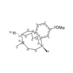 COc1ccc2c(c1)[C@@]1(C)CCCCC[C@H](C2)N(C)CC1